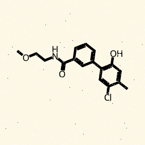 COCCNC(=O)c1cccc(-c2cc(Cl)c(C)cc2O)c1